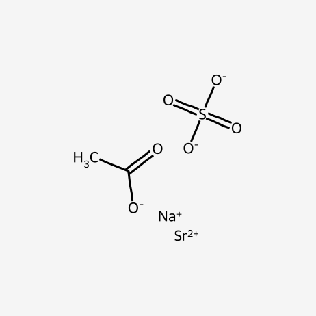 CC(=O)[O-].O=S(=O)([O-])[O-].[Na+].[Sr+2]